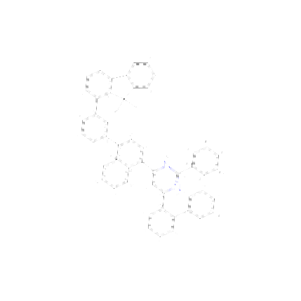 CC1(C)c2ccccc2-c2cccc(-c3cccc(-c4ccc(-c5cc(-c6ccccc6-c6ccccc6)nc(-c6ccccc6)n5)c5ccccc45)c3)c21